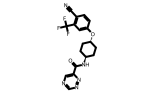 N#Cc1ccc(O[C@H]2CC[C@H](NC(=O)c3cncnn3)CC2)cc1C(F)(F)F